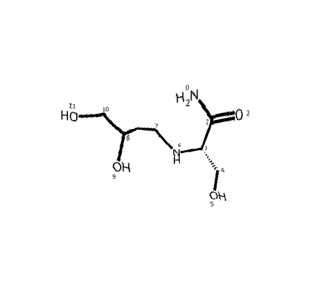 NC(=O)[C@H](CO)NCC(O)CO